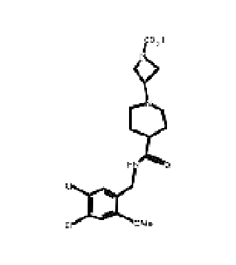 COc1cc(Cl)c(Cl)cc1CNC(=O)C1CCN(C2CN(C(=O)O)C2)CC1